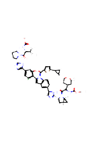 COC(=O)NC(C(=O)N1[C@@H]2C[C@@H]2C[C@H]1c1ncc(-c2ccc3c(c2)cc2n3C(c3ccc(C4CC4)s3)Oc3cc(-c4cnc([C@@H]5CCCN5C(=O)[C@@H](NC(=O)OC)C(C)C)[nH]4)cc(F)c3-2)[nH]1)C1C[C@@H](C)O[C@@H](C)C1